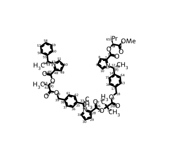 COC(=O)[C@@H](OC(=O)c1cccn1[C@H](C)c1ccc(COC(=O)C(C)(C)OC(=O)c2cccn2[C@H](C)c2ccc(COC(=O)[C@@H](C)OC(=O)c3cccn3[C@H](C)c3ccccc3)cc2)cc1)C(C)C